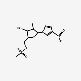 CC1C(O)C(COS(C)(=O)=O)OC1n1cnc([N+](=O)[O-])c1